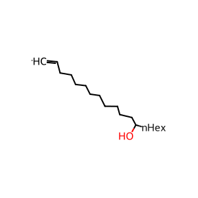 [CH]=CCCCCCCCCCCC(O)CCCCCC